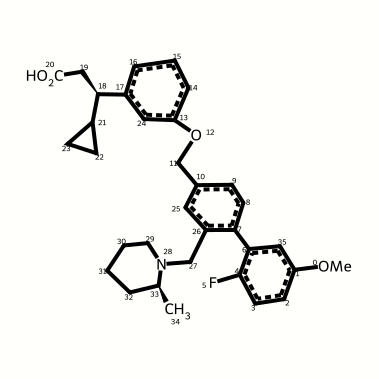 COc1ccc(F)c(-c2ccc(COc3cccc([C@H](CC(=O)O)C4CC4)c3)cc2CN2CCCC[C@@H]2C)c1